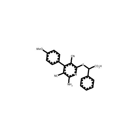 COc1ccc(-c2c(C#N)c(N)nc(SC(C(=O)O)c3ccccc3)c2C#N)cc1